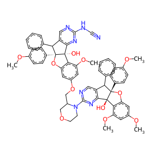 COc1ccc([C@@]23Oc4cc(OCC5COCCN5c5ncc6c(n5)[C@@]5(O)c7c(OC)cc(OC)cc7O[C@@]5(c5ccc(OC)cc5)C6c5ccccc5)cc(OC)c4[C@]2(O)c2nc(NC#N)ncc2C3c2ccccc2)cc1